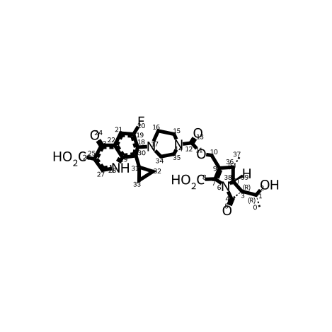 C[C@@H](O)[C@@H]1C(=O)N2C(C(=O)O)=C(COC(=O)N3CCN(c4c(F)cc5c(=O)c(C(=O)O)c[nH]c5c4C4CC4)CC3)[C@H](C)[C@H]12